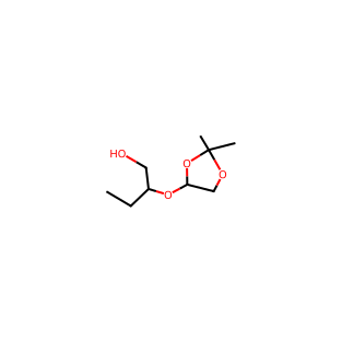 CCC(CO)OC1COC(C)(C)O1